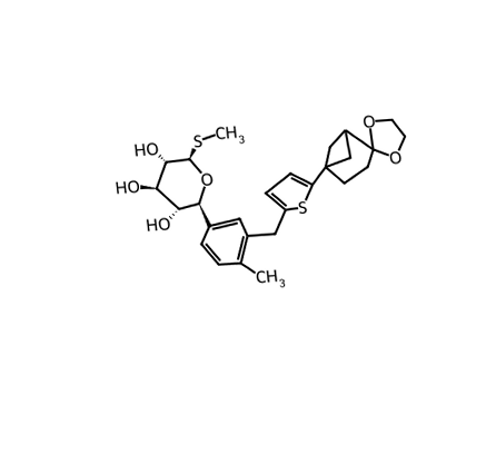 CS[C@H]1O[C@@H](c2ccc(C)c(Cc3ccc(C45CCC6(OCCO6)C(C4)C5)s3)c2)[C@H](O)[C@@H](O)[C@@H]1O